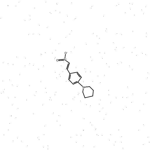 O=[N+]([O-])C=Cc1ccc(N2CCCCC2)cc1